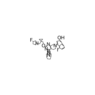 Oc1cc(N2CCc3c(nc(OCC4(CN5CCC(F)C5)CC4)nc3N3CC4CCC(C3)N4)C2)c2c(I)cccc2c1